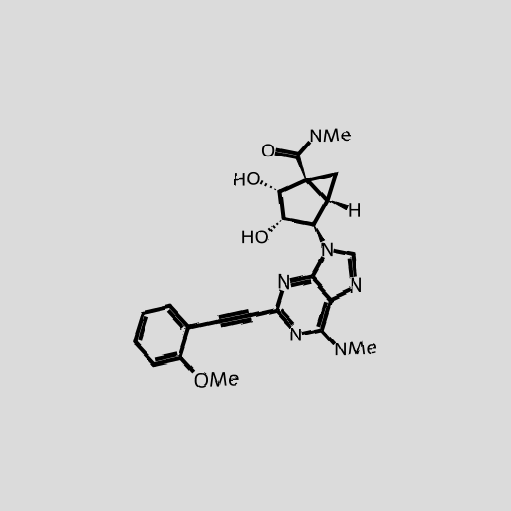 CNC(=O)[C@@]12C[C@@H]1[C@@H](n1cnc3c(NC)nc(C#Cc4ccccc4OC)nc31)[C@H](O)[C@@H]2O